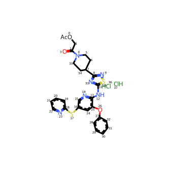 CC(=O)OCC(=O)N1CCC(c2nsc(Nc3ncc(Sc4ccccn4)cc3Oc3ccccc3)n2)CC1.Cl.Cl